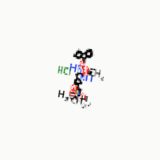 CCOC(=N)C(Cc1ccc(C2=CC(=O)N(C(C)(C)C)S2(=O)=O)cc1)NC(=O)OCC1c2ccccc2-c2ccccc21.Cl